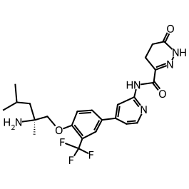 CC(C)C[C@](C)(N)COc1ccc(-c2ccnc(NC(=O)C3=NNC(=O)CC3)c2)cc1C(F)(F)F